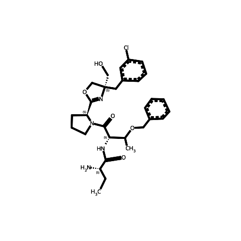 CC[C@H](N)C(=O)N[C@H](C(=O)N1CCC[C@H]1C1=N[C@](CO)(Cc2cccc(Cl)c2)CO1)C(C)OCc1ccccc1